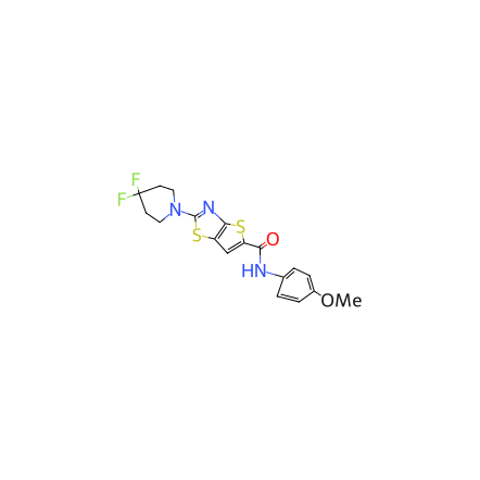 COc1ccc(NC(=O)c2cc3sc(N4CCC(F)(F)CC4)nc3s2)cc1